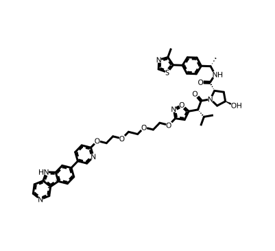 Cc1ncsc1-c1ccc([C@H](C)NC(=O)[C@@H]2C[C@@H](O)CN2C(=O)[C@@H](c2cc(OCCOCCOCCOc3ccc(-c4ccc5c(c4)[nH]c4ccncc45)cn3)no2)C(C)C)cc1